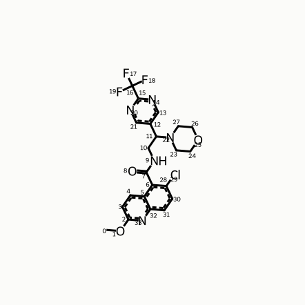 COc1ccc2c(C(=O)NCC(c3cnc(C(F)(F)F)nc3)N3CCOCC3)c(Cl)ccc2n1